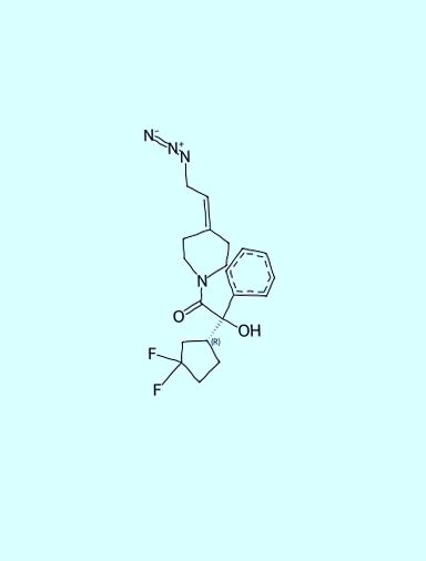 [N-]=[N+]=NCC=C1CCN(C(=O)C(O)(c2ccccc2)[C@@H]2CCC(F)(F)C2)CC1